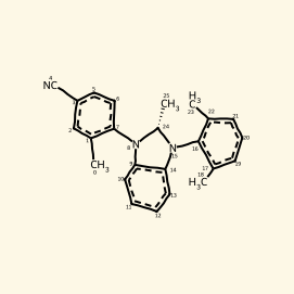 Cc1cc(C#N)ccc1N1c2ccccc2N(c2c(C)cccc2C)[C@H]1C